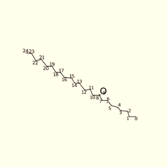 CCCCCC[CH]CC(=O)CCCCCCCCCCCCCCC